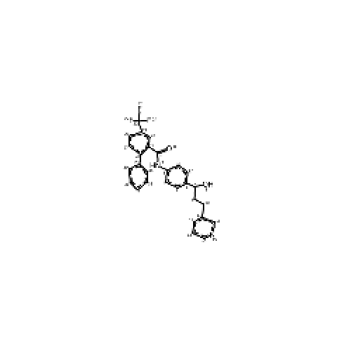 O=C(Nc1ccc(C(O)CCc2cccnc2)cc1)c1cc(C(F)(F)F)ccc1-c1ccccc1